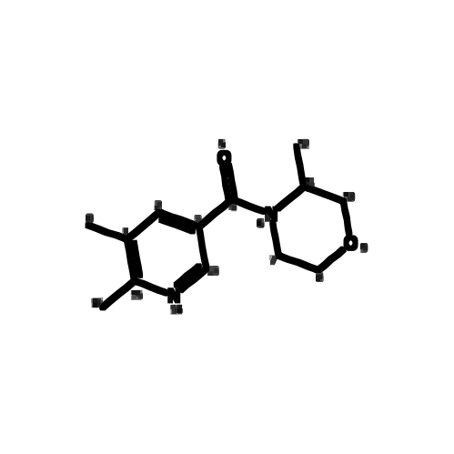 Cc1cc(C(=O)N2CCOCC2C)cnc1C